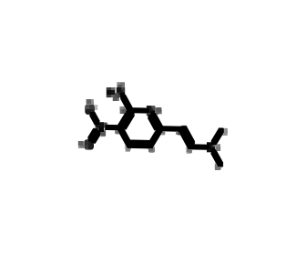 CN(C)C=Cc1ccc([N+](=O)[O-])c(N)n1